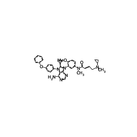 COc1ccc(N(C)C(=O)C=CCN(C)C2CC2)cc1-n1c(=O)n(-c2ccc(Oc3ccccc3)cc2)c2c(N)ncnc21